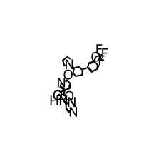 O=S(=O)(Nc1ccncn1)c1ccc(OC2CCC(c3cccc(OC(F)(F)F)c3)CC2N2CCCC2)nc1